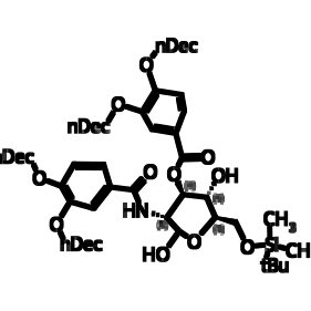 CCCCCCCCCCOc1ccc(C(=O)N[C@H]2C(O)O[C@H](CO[Si](C)(C)C(C)(C)C)[C@@H](O)[C@@H]2OC(=O)c2ccc(OCCCCCCCCCC)c(OCCCCCCCCCC)c2)cc1OCCCCCCCCCC